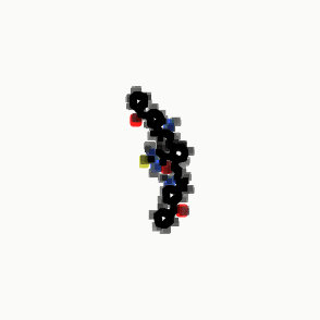 COC1C(C2=C(/C=C/C3=[N+](C)c4ccc(C(=O)c5ccccc5)cc4C3(C)C)CCC/C2=C\C=C2\N(C)c3ccc(C(=O)c4ccccc4)cc3C2(C)C)C(=O)N(C)C(=S)N1C